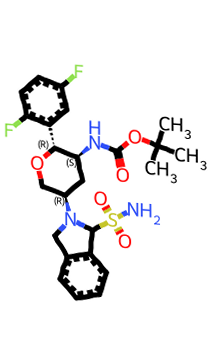 CC(C)(C)OC(=O)N[C@H]1C[C@@H](N2Cc3ccccc3C2S(N)(=O)=O)CO[C@@H]1c1cc(F)ccc1F